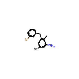 Cc1c(N)cc(C#N)cc1Cc1cccc(Br)c1